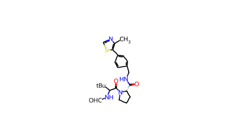 Cc1ncsc1-c1ccc(CNC(=O)[C@@H]2CCCN2C(=O)C(NC=O)C(C)(C)C)cc1